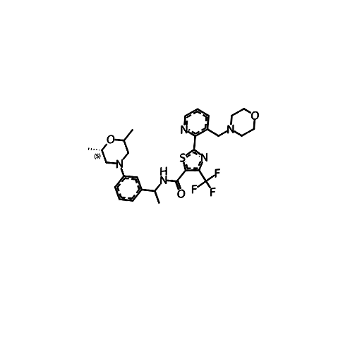 CC1CN(c2cccc(C(C)NC(=O)c3sc(-c4ncccc4CN4CCOCC4)nc3C(F)(F)F)c2)C[C@H](C)O1